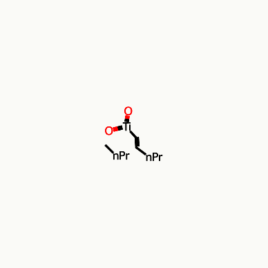 CCCC.CCCC=[CH][Ti](=[O])=[O]